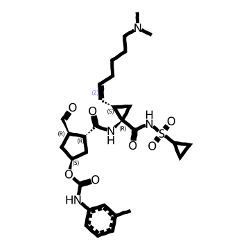 Cc1cccc(NC(=O)O[C@H]2C[C@@H](C=O)[C@H](C(=O)N[C@]3(C(=O)NS(=O)(=O)C4CC4)C[C@H]3/C=C\CCCCN(C)C)C2)c1